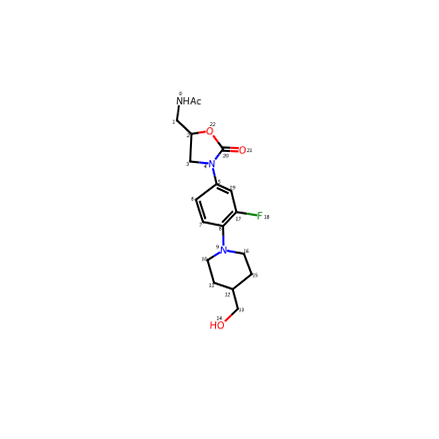 CC(=O)NCC1CN(c2ccc(N3CCC(CO)CC3)c(F)c2)C(=O)O1